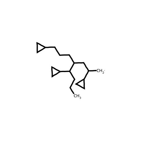 [CH2]C(CC(CCCC1CC1)C(CCC)C1CC1)C1CC1